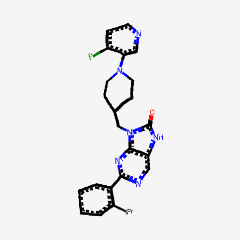 CC(C)c1ccccc1-c1ncc2[nH]c(=O)n(CC3CCN(c4cnccc4F)CC3)c2n1